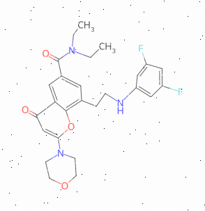 CCN(CC)C(=O)c1cc(CCNc2cc(F)cc(F)c2)c2oc(N3CCOCC3)cc(=O)c2c1